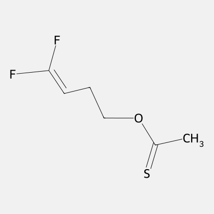 CC(=S)OCCC=C(F)F